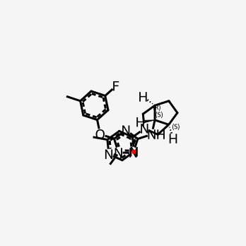 Cc1cc(F)cc(Oc2nc(N[C@@H]3[C@@H]4CC[C@H]3CN(c3cc(C)ncn3)C4)nn2C)c1